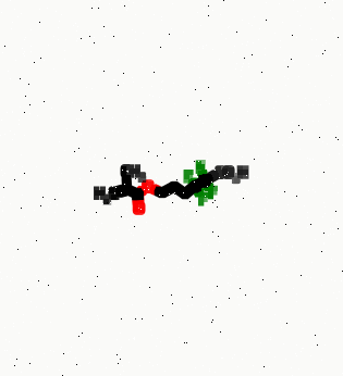 C=C(C)C(=O)OCCCC(F)(F)C(F)(F)S(=O)(=O)O